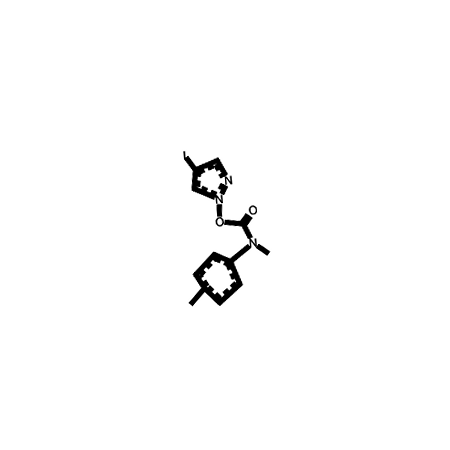 Cc1ccc(N(C)C(=O)On2cc(I)cn2)cc1